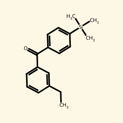 CCc1cccc(C(=O)c2ccc([Si](C)(C)C)cc2)c1